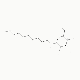 CCCCCCCCCCOC1OC(CO)C(O)C(O)C1O